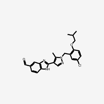 Cc1c(-c2nc3cc(C=O)ccc3[nH]2)cnn1Cc1cc(Cl)ccc1OCC(C)C